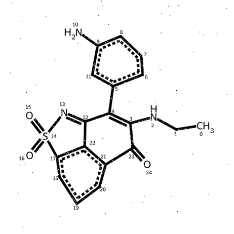 CCNC1=C(c2cccc(N)c2)C2=NS(=O)(=O)c3cccc(c32)C1=O